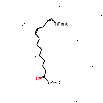 [CH2]CCCCC(=O)CCCCCCC/C=C\C/C=C\CCCCC